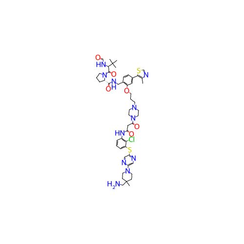 Cc1ncsc1-c1ccc(CNC(=O)[C@@H]2CCCN2C(=O)C(NC=O)C(C)(C)C)c(OCCCN2CCN(C(=O)CC(=O)Nc3cccc(Sc4cnc(N5CCC(C)(CN)CC5)cn4)c3Cl)CC2)c1